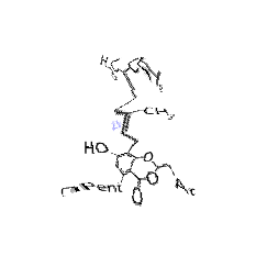 CCCCCc1cc(O)c(C/C=C(\C)CCC=C(C)C)c2c1C(=O)OC(CC(C)=O)O2